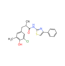 Cc1cc(CC(C#N)C(=O)Nc2nc(-c3ccccc3)cs2)cc(Cl)c1O